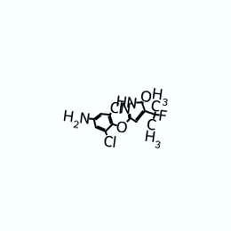 CC(C)(F)c1cc(Oc2c(Cl)cc(N)cc2Cl)n[nH]c1=O